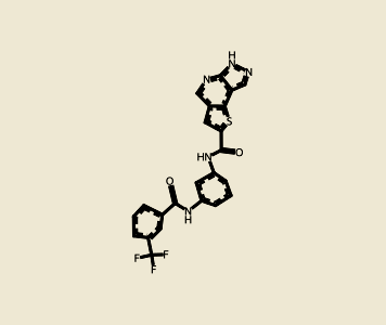 O=C(Nc1cccc(NC(=O)c2cc3cnc4[nH]ncc4c3s2)c1)c1cccc(C(F)(F)F)c1